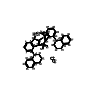 CC1=C2c3c(cccc3N3CCCc4ccccc43)[CH]1[Hf+2][CH]1C(C)=C(c3c1cccc3N1CCCc3ccccc31)[Si]2(C)C.[Cl-].[Cl-]